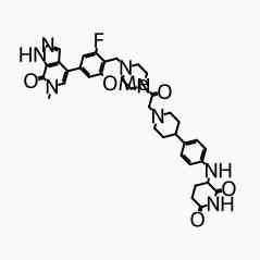 COc1cc(-c2cn(C)c(=O)c3[nH]ncc23)cc(F)c1CN1CCN(C(=O)CN2CCC(c3ccc(NC4CCC(=O)NC4=O)cc3)CC2)CC1